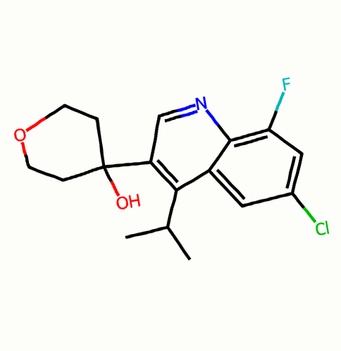 CC(C)c1c(C2(O)CCOCC2)cnc2c(F)cc(Cl)cc12